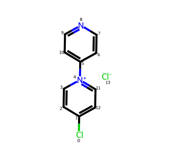 Clc1cc[n+](-c2ccncc2)cc1.[Cl-]